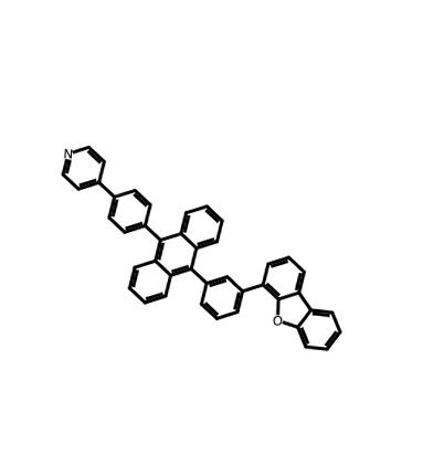 c1cc(-c2c3ccccc3c(-c3ccc(-c4ccncc4)cc3)c3ccccc23)cc(-c2cccc3c2oc2ccccc23)c1